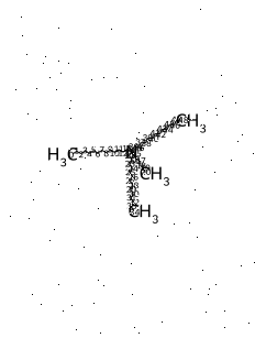 CCCCCCCCCCCCCC[N+](CCCCCC)(CCCCCCCCCCCCCC)CCCCCCCCCCCCCC